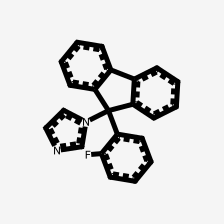 Fc1ccccc1C1(n2ccnc2)c2ccccc2-c2ccccc21